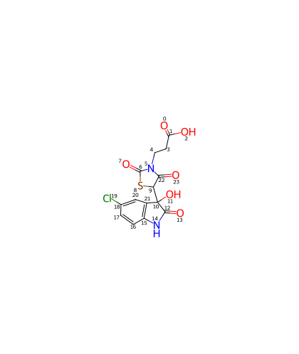 O=C(O)CCN1C(=O)SC(C2(O)C(=O)Nc3ccc(Cl)cc32)C1=O